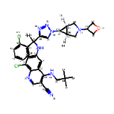 [2H]C(Nc1cc(Cl)c2ncc(C#N)c(NCC(C)(C)C)c2c1)(c1cn([C@@H]2[C@@H]3CN(C4COC4)C[C@@H]32)nn1)c1ccccc1Cl